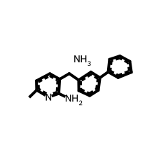 Cc1ccc(Cc2cccc(-c3ccccc3)c2)c(N)n1.N